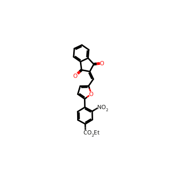 CCOC(=O)c1ccc(-c2ccc(C=C3C(=O)c4ccccc4C3=O)o2)c([N+](=O)[O-])c1